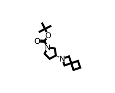 CC(C)(C)OC(=O)N1CC[C@@H](N2CC3(CCC3)C2)C1